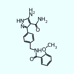 COc1ccccc1C(=O)NCc1ccc(-c2n[nH]c(N)c2C(N)=O)cc1